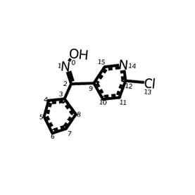 ON=C(c1ccccc1)c1ccc(Cl)nc1